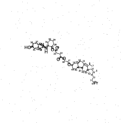 CC(C)CCC[C@@H](C)[C@H]1CCC2C3CC=C4C[C@@H](OCCOC(=O)CCC(=O)OC5CCCC[C@@H]5Nc5nc6ccc(O)cc6s5)CC[C@]4(C)C3CC[C@@]21C